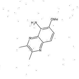 COc1ccc2nc(C)c(C)nc2c1N